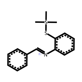 CS(C)(C)Sc1ccccc1/N=C/c1ccccc1